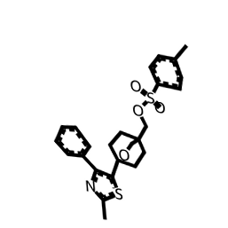 Cc1ccc(S(=O)(=O)OCC23CCC(c4sc(C)nc4-c4ccccc4)(CC2)OC3)cc1